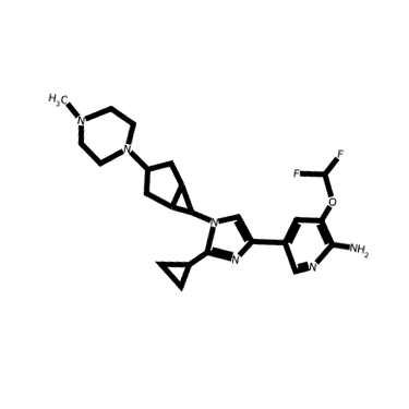 CN1CCN(C2CC3C(C2)C3n2cc(-c3cnc(N)c(OC(F)F)c3)nc2C2CC2)CC1